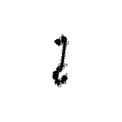 Cc1ccc(Nc2c(C(=O)NOCCOCCOCCOCCNS(=O)(=O)N3CCN(c4cnc5ccc(-c6cnc(Cl)c(NS(=O)(=O)c7ccc(F)cc7)c6)cc5n4)CC3)ccc(F)c2F)c(F)c1